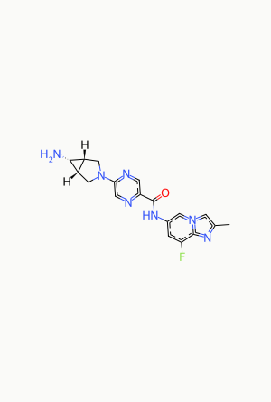 Cc1cn2cc(NC(=O)c3cnc(N4C[C@@H]5[C@H](N)[C@@H]5C4)cn3)cc(F)c2n1